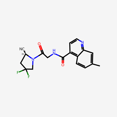 Cc1ccc2c(C(=O)NCC(=O)N3CC(F)(F)C[C@H]3C#N)ccnc2c1